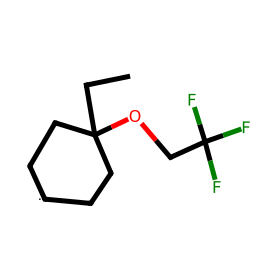 CCC1(OCC(F)(F)F)CC[CH]CC1